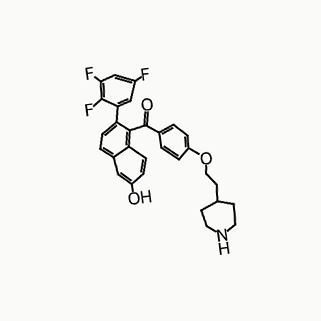 O=C(c1ccc(OCCC2CCNCC2)cc1)c1c(-c2cc(F)cc(F)c2F)ccc2cc(O)ccc12